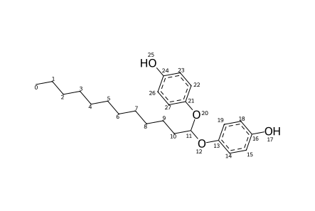 CCCCCCCCCCCC(Oc1ccc(O)cc1)Oc1ccc(O)cc1